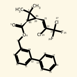 CC1(C)[C@H](C(=O)OCc2cccc(-c3ccccc3)c2)[C@@H]1C=C(Cl)C(F)(F)Cl